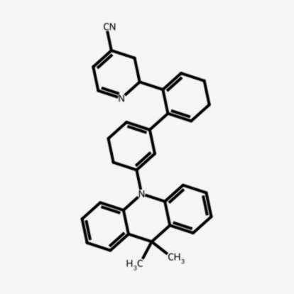 CC1(C)c2ccccc2N(C2=CC(C3=CCCC=C3C3CC(C#N)=CC=N3)=CCC2)c2ccccc21